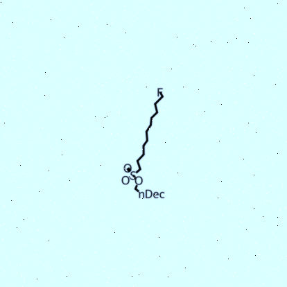 CCCCCCCCCCCOS(=O)(=O)CCCCCCCCCCCF